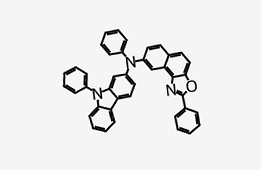 c1ccc(-c2nc3c(ccc4ccc(N(c5ccccc5)c5ccc6c7ccccc7n(-c7ccccc7)c6c5)cc43)o2)cc1